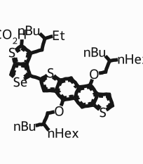 CCCCCCC(CCCC)COc1c2ccsc2cc2c(OCC(CCCC)CCCCCC)c3cc(-c4[se]cc5sc(C(=O)O)c(CC(CC)CCCC)c45)sc3cc12